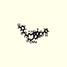 CO[C@H]1CC2C=C[C@H]3[C@H]4O[C@]2(/C(C)=C/[C@@H](C)[C@@H]([C@@H](C)OC(=O)c2cccc(CCl)c2)OC1=O)[C@@H]3[C@H](O)[C@@H](C)[C@H]4OC(=O)c1ccc[nH]1